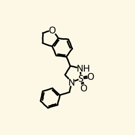 O=S1(=O)NC(c2ccc3c(c2)CCO3)CN1Cc1ccccc1